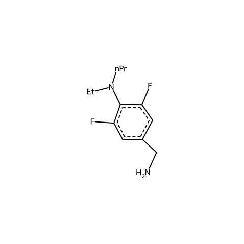 CCCN(CC)c1c(F)cc(CN)cc1F